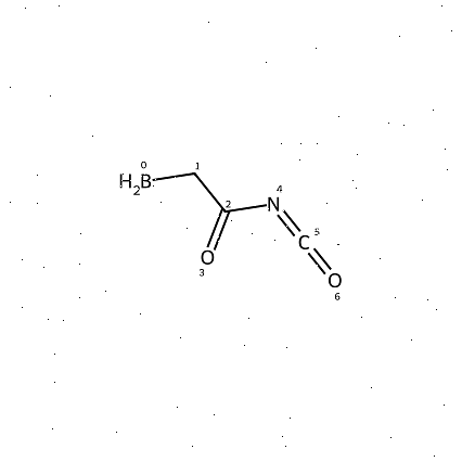 BCC(=O)N=C=O